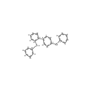 c1ccc(Sc2ccc(-c3ccccc3Sc3ccccc3)cc2)cc1